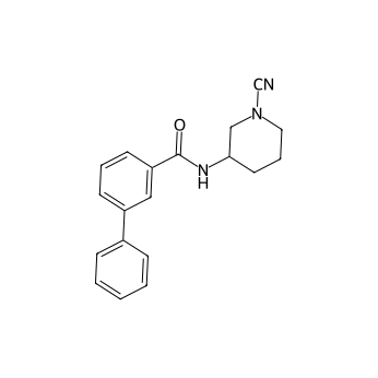 N#CN1CCCC(NC(=O)c2cccc(-c3ccccc3)c2)C1